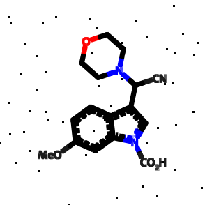 COc1ccc2c(C(C#N)N3CCOCC3)cn(C(=O)O)c2c1